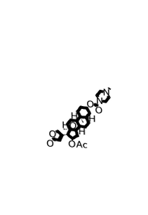 CC(=O)O[C@H]1C[C@]2(O)[C@@H]3CC[C@@H]4C[C@@H](OC(=O)N5CCN(C)CC5)CC[C@]4(C)[C@H]3CC[C@]2(C)[C@H]1C1=CC(=O)OC1